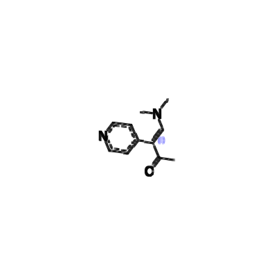 CC(=O)/C(=C/N(C)C)c1ccncc1